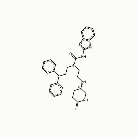 O=C1CC[C@@H](NCCN(CCC(c2ccccc2)c2ccccc2)C(=O)Nc2nc3ccccc3s2)CN1